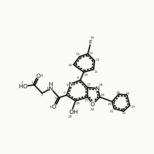 O=C(O)CNC(=O)c1nc(-c2ccc(F)cc2)c2nc(-c3ccccc3)oc2c1O